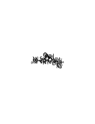 Cn1cc(-c2cn3nc4c5ncc(NC(=O)CN6CCOCC67CC7)cc5[nH]c(=O)c4c3s2)cn1